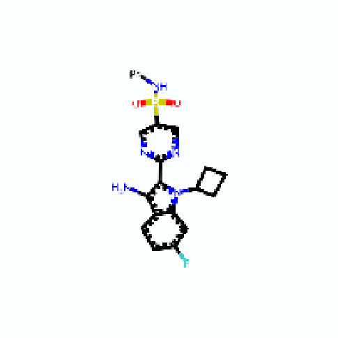 CC(C)NS(=O)(=O)c1cnc(-c2c(N)c3ccc(F)cc3n2C2CCC2)nc1